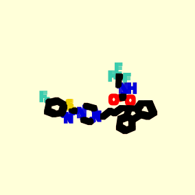 O=C(NCC(F)(F)F)OC1(CCCCN2CCN(c3nc4ccc(F)cc4s3)CC2)c2ccccc2-c2ccccc21